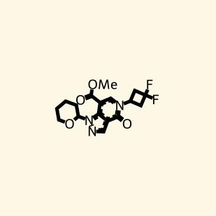 COC(=O)c1cn(C2CC(F)(F)C2)c(=O)c2cnn(C3CCCCO3)c12